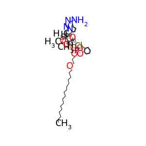 CCCCCCCCCCCCCCCCCOCCCOP(=O)(OC[C@H]1O[C@@](C)(c2ccc3c(N)ncnn23)[C@@H]2OC(C)(C)O[C@@H]21)Oc1ccccc1Cl